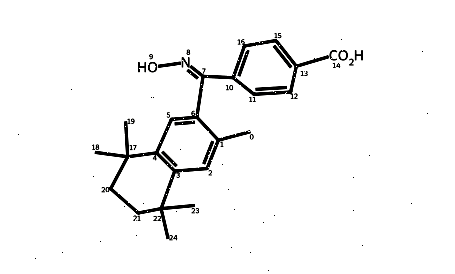 Cc1cc2c(cc1/C(=N\O)c1ccc(C(=O)O)cc1)C(C)(C)CCC2(C)C